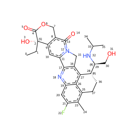 CC[C@@]1(O)C(=O)OCc2c1cc1n(c2=O)Cc2c-1nc1cc(F)c(C)c3c1c2[C@H]([C@H](CO)NC(C)C)CC3